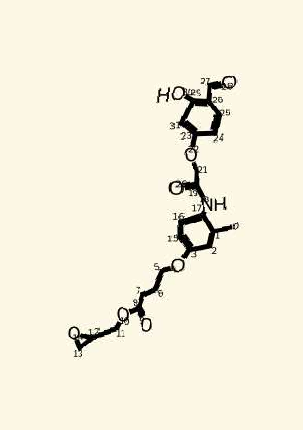 CC1CC(OCCCC(=O)OCC2CO2)=CC=C1NC(=O)COc1ccc(C=O)c(O)c1